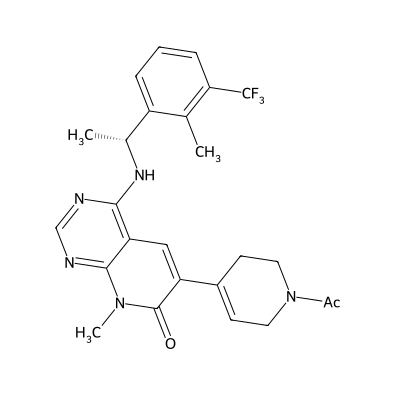 CC(=O)N1CC=C(c2cc3c(N[C@H](C)c4cccc(C(F)(F)F)c4C)ncnc3n(C)c2=O)CC1